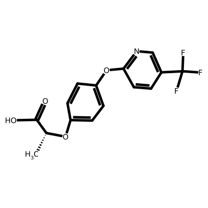 C[C@@H](Oc1ccc(Oc2ccc(C(F)(F)F)cn2)cc1)C(=O)O